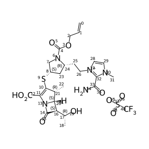 C=CCOC(=O)N1C[C@@H](SC2=C(C(=O)O)N3C(=O)[C@H]([C@@H](C)O)[C@H]3[C@H]2C)C[C@H]1CC[n+]1ccn(C)c1C(N)=O.O=S(=O)([O-])C(F)(F)F